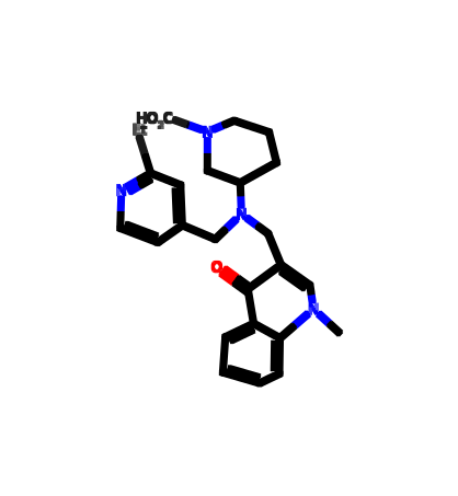 CCc1cc(CN(Cc2cn(C)c3ccccc3c2=O)C2CCCN(C(=O)O)C2)ccn1